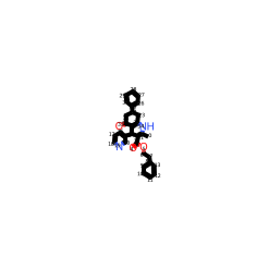 CC1=C(C(=O)OCCc2ccccc2)C(c2cccnc2)C2=C(CC(c3ccccc3)CC2=O)N1